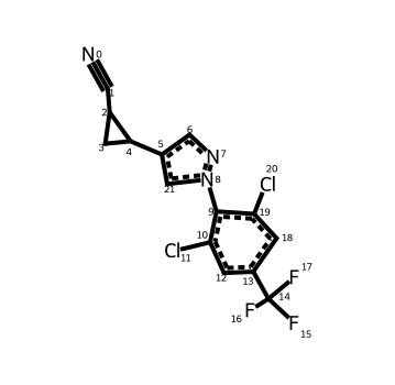 N#CC1CC1c1cnn(-c2c(Cl)cc(C(F)(F)F)cc2Cl)c1